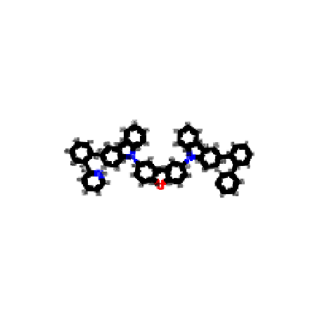 c1ccc(-c2ccccc2-c2ccc3c(c2)c2ccccc2n3-c2ccc3oc4ccc(-n5c6ccccc6c6cc(-c7ccccc7-c7ccccn7)ccc65)cc4c3c2)cc1